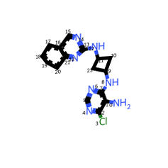 Nc1c(Cl)ncnc1NC1CC(Nc2ncc3ccccc3n2)C1